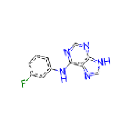 Fc1cccc(Nc2ncnc3[nH]cnc23)c1